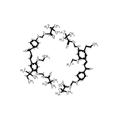 CCCc1cc(/C=C/C(=O)c2ccc(OCOC(=O)C(C)(C)C)cc2)c(OCC)cc1OCOC(=O)C(C)(C)C.CCOc1cc(OCOC(=O)C(C)(C)C)c(C(C)(C)CC)cc1/C=C/C(=O)c1ccc(OCOC(=O)C(C)(C)C)cc1